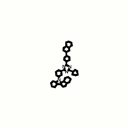 c1ccc(-c2nc(-c3ccc(-c4ccc5ccccc5c4)cc3)nc(-c3cccc(-n4c5ccccc5c5ccc6ccccc6c54)c3)n2)cc1